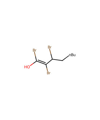 CCCCCC(Br)C(Br)=C(O)Br